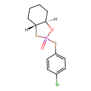 O=P1(Sc2ccc(Br)cc2)O[C@@H]2CCCC[C@H]2S1